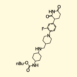 CCCCOC(=O)NC1CCC(NCC2CCN(c3ccc(C4CCC(=O)NC4=O)cc3F)CC2)CC1